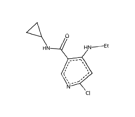 CCNc1cc(Cl)ncc1C(=O)NC1CC1